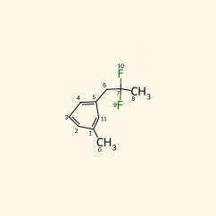 Cc1cccc(CC(C)(F)F)c1